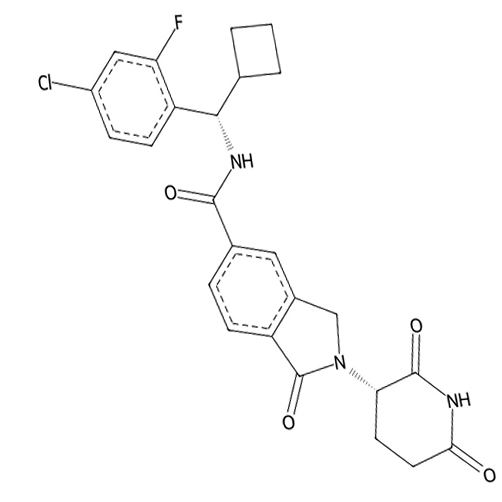 O=C1CC[C@H](N2Cc3cc(C(=O)N[C@H](c4ccc(Cl)cc4F)C4CCC4)ccc3C2=O)C(=O)N1